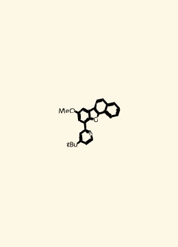 COc1cc(-c2cc(C(C)(C)C)ccn2)c2oc3c4ccccc4ccc3c2c1